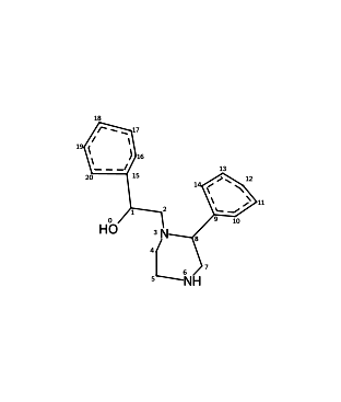 OC(CN1CCNCC1c1ccccc1)c1ccccc1